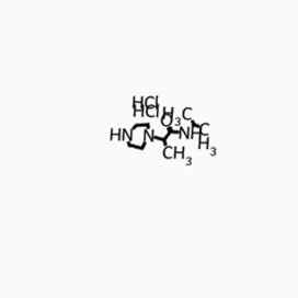 CC(C)NC(=O)C(C)N1CCNCC1.Cl.Cl